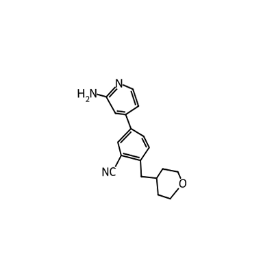 N#Cc1cc(-c2ccnc(N)c2)ccc1CC1CCOCC1